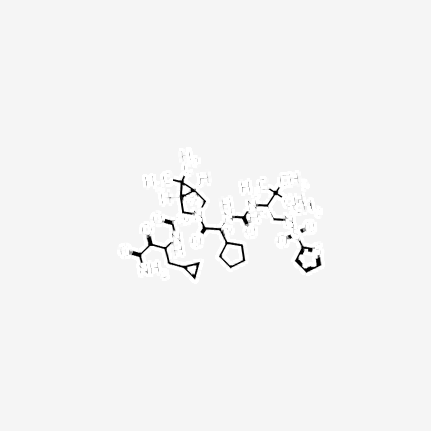 CN(C[C@@H](NC(=O)N[C@H](C(=O)N1C[C@H]2[C@@H]([C@H]1C(=O)NC(CC1CC1)C(=O)C(N)=O)C2(C)C)C1CCCC1)C(C)(C)C)S(=O)(=O)c1cccs1